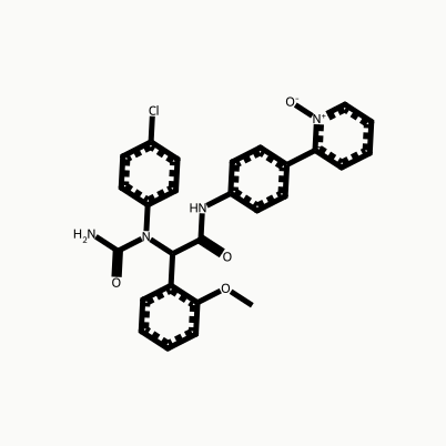 COc1ccccc1C(C(=O)Nc1ccc(-c2cccc[n+]2[O-])cc1)N(C(N)=O)c1ccc(Cl)cc1